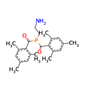 Cc1cc(C)c(C(=O)P(CCN)C(=O)c2c(C)cc(C)cc2C)c(C)c1